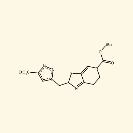 CCOC(=O)c1cn(CC2N=C3CCN(C(=O)OC(C)(C)C)C=C3S2)nn1